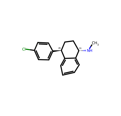 CN[C@H]1CC[C@H](c2ccc(Cl)cc2)c2ccccc21